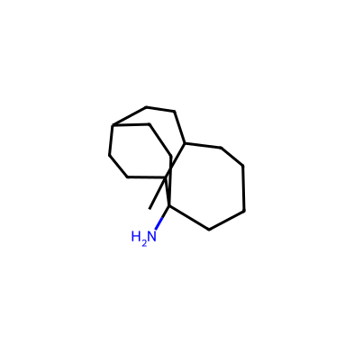 CC12CCC3CCC1CCCCC2(N)CC3